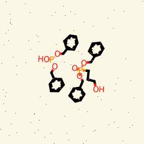 O=P(CCCO)(OCc1ccccc1)OCc1ccccc1.OP(OCc1ccccc1)OCc1ccccc1